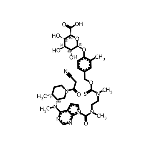 Cc1cc(COC(=S)N(C)CCN(C)C(=O)n2ccc3c(N(C)[C@H]4CN(C(=O)CC#N)CC[C@H]4C)ncnc32)ccc1O[C@@H]1O[C@H](C(=O)O)[C@@H](O)[C@H](O)[C@H]1O